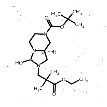 CCOC(=O)C(C)(C)CN1C[C@@H]2CN(C(=O)OC(C)(C)C)CCN2C1O